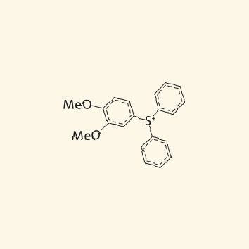 COc1ccc([S+](c2ccccc2)c2ccccc2)cc1OC